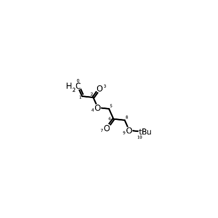 C=CC(=O)OCC(=O)COC(C)(C)C